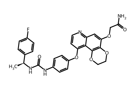 C[C@H](NC(=O)Nc1ccc(Oc2ccnc3cc(OCC(N)=O)c4c(c23)OCCO4)cc1)c1ccc(F)cc1